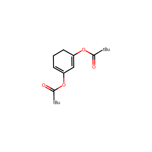 CC(C)(C)C(=O)OC1=CCCC(OC(=O)C(C)(C)C)=C1